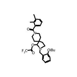 Cc1cccc(C(=O)N2CCC3(CC2)CCN(Cc2ccccc2OCC(C)C)C3OC(=O)C(F)(F)F)c1C